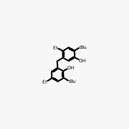 CCc1cc(Cc2cc(O)c(C(C)(C)C)cc2CC)c(O)c(C(C)(C)C)c1